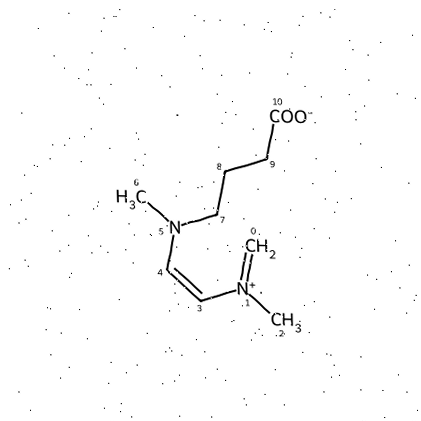 C=[N+](C)/C=C\N(C)CCCC(=O)[O-]